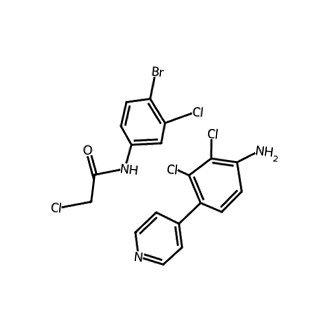 Nc1ccc(-c2ccncc2)c(Cl)c1Cl.O=C(CCl)Nc1ccc(Br)c(Cl)c1